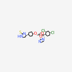 S=c1nc(-c2ccc(OC[C@@H]3CO[C@@](Cn4ccnc4)(c4ccc(Cl)cc4Cl)O3)cc2)cc[nH]1